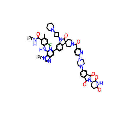 Cc1cc(F)c(Nc2nc(-c3ccc4c(c3)N(C3CC(N5CCCCC5)C3)C(=O)C43CCN(C(=O)c4ccc(N5CCN(c6ccc7c(c6)C(=O)N(C6CCC(=O)NC6=O)C7=O)CC5)nc4)CC3)cc3ncn(C(C)C)c23)cc1C(=O)NC(C)C